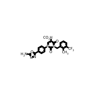 Cc1c(Cn2c(=O)c(C(=O)O)cn(-c3ccc(-c4nnc(N)o4)cc3)c2=O)cccc1C(F)(F)F